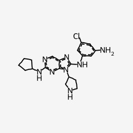 Nc1cc(Cl)cc(Nc2nc3cnc(NC4CCCC4)nc3n2C2CCNC2)c1